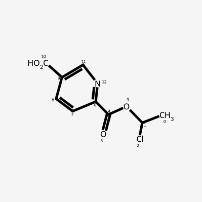 CC(Cl)OC(=O)c1ccc(C(=O)O)cn1